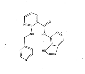 O=C(Nc1cccc2cc[nH]c12)c1cccnc1NCc1ccncc1